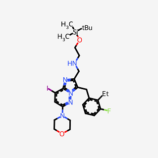 CCc1c(F)cccc1Cc1c(CNCCO[Si](C)(C)C(C)(C)C)nc2c(I)cc(N3CCOCC3)nn12